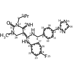 CC(C)CN1C(=N)/C(=C(\NCc2ccc(-n3cncn3)cc2)Nc2ccc(F)cc2)CN(C)C1=O